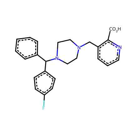 O=C(O)c1ncccc1CN1CCN(C(c2ccccc2)c2ccc(F)cc2)CC1